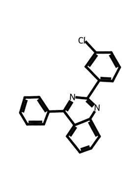 Clc1cccc(-c2nc(-c3ccccc3)c3ccccc3n2)c1